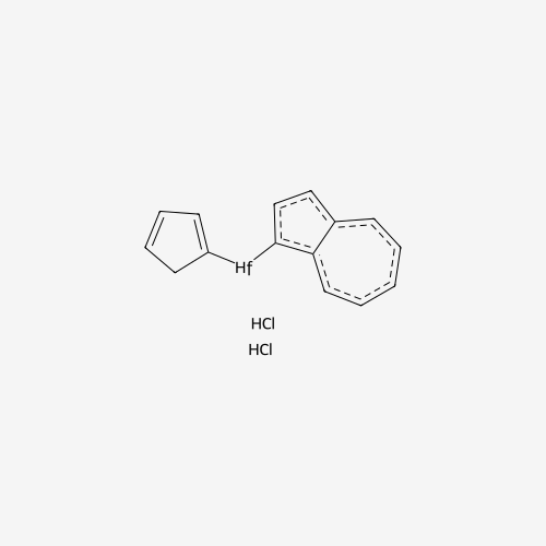 C1=CC[C]([Hf][c]2ccc3cccccc2-3)=C1.Cl.Cl